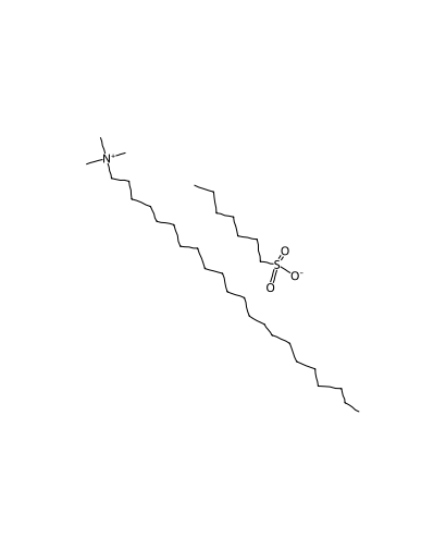 CCCCCCCCCCCCCCCCCCCCCC[N+](C)(C)C.CCCCCCCS(=O)(=O)[O-]